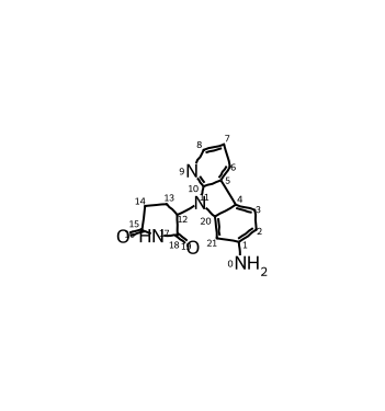 Nc1ccc2c3cccnc3n(C3CCC(=O)NC3=O)c2c1